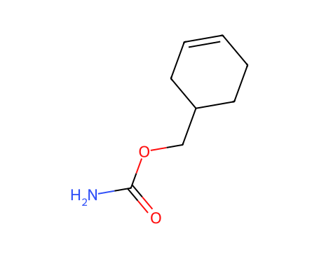 NC(=O)OCC1CC=CCC1